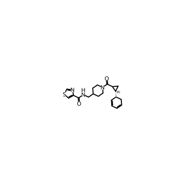 O=C(NCC1CCN(C(=O)C2C[C@@H]2C2C=CC=CC2)CC1)c1cscn1